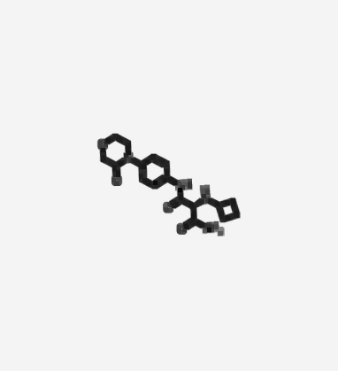 NC(=O)[C@H](NC1CCC1)C(=O)Nc1ccc(N2CCOCC2=O)cc1